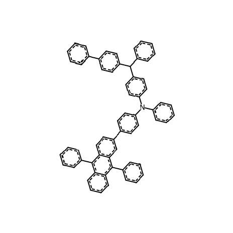 c1ccc(-c2ccc(C(c3ccccc3)c3ccc(N(c4ccccc4)c4ccc(-c5ccc6c(-c7ccccc7)c7ccccc7c(-c7ccccc7)c6c5)cc4)cc3)cc2)cc1